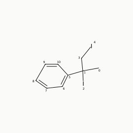 CC(I)(CI)c1ccccc1